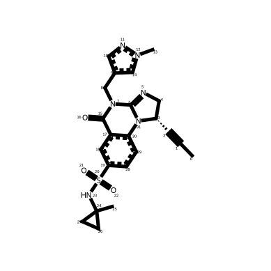 CC#C[C@H]1CN=C2N(Cc3cnn(C)c3)C(=O)c3cc(S(=O)(=O)NC4(C)CC4)ccc3N21